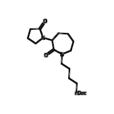 CCCCCCCCCCCCCCN1CCCCC(N2CCCC2=O)C1=O